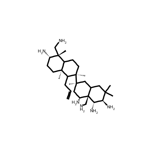 C=CCC1[C@@]2(C)CC[C@H](N)[C@](C)(CN)C2CC[C@@]1(C)[C@@]1(C)CC2CC(C)(C)[C@@H](N)[C@H](N)[C@]2(CN)[C@H](N)C1